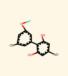 O=Nc1cc(OF)cc(-c2c(O)cc(N=O)cc2O)c1